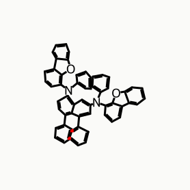 c1ccc(-c2ccc(N(c3ccccc3)c3cccc4c3oc3ccccc34)c3cc(N(c4ccccc4)c4cccc5c4oc4ccccc45)cc(-c4ccccc4)c23)cc1